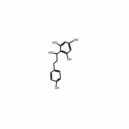 Oc1ccc(CCC(O)c2c(O)cc(O)cc2O)cc1